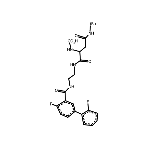 CC(C)(C)NC(=O)CC(NC(=O)O)C(=O)NCCNC(=O)c1cc(-c2ccccc2F)ccc1F